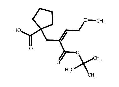 COC/C=C(/CC1(C(=O)O)CCCC1)C(=O)OC(C)(C)C